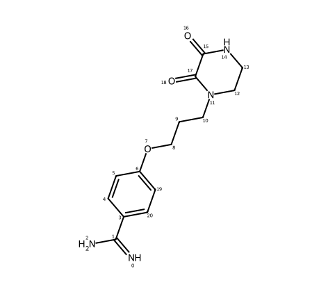 N=C(N)c1ccc(OCCCN2CCNC(=O)C2=O)cc1